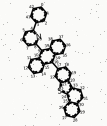 c1ccc(-c2cccc(-c3c4ccccc4c(-c4ccc5c(c4)sc4c6ccccc6ccc54)c4ccccc34)n2)cc1